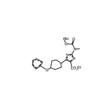 CCOC(=O)c1nc(N(C)C(=O)OC(C)(C)C)sc1N1CCC(Oc2ccccc2)CC1